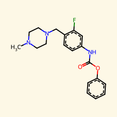 CN1CCN(Cc2ccc(NC(=O)Oc3ccccc3)cc2F)CC1